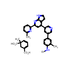 CC1(C(=O)O)C=CC=C(C(=O)O)C1.CCNc1ccc(-c2cncc(-c3cc(-c4cccc(C)n4)nc4[nH]ccc34)c2)cc1C